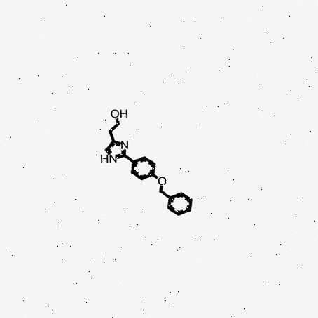 OCCc1c[nH]c(-c2ccc(OCc3ccccc3)cc2)n1